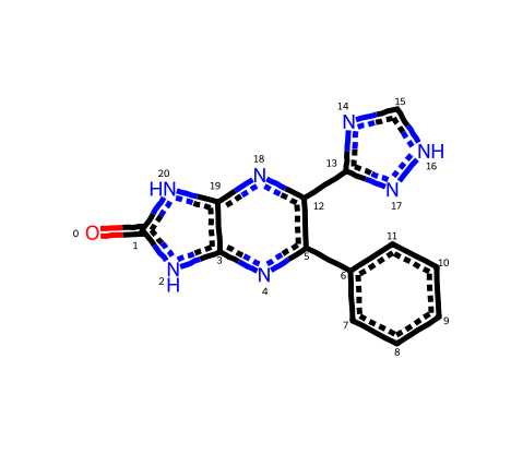 O=c1[nH]c2nc(-c3ccccc3)c(-c3nc[nH]n3)nc2[nH]1